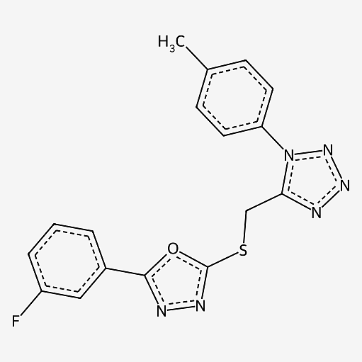 Cc1ccc(-n2nnnc2CSc2nnc(-c3cccc(F)c3)o2)cc1